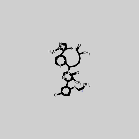 CC1CCCC(n2cnc(-c3cc(Cl)ccc3N/C=C\N)c(C(F)(F)F)c2=O)c2cc(ccn2)-c2c(cnn2C)NC1=O